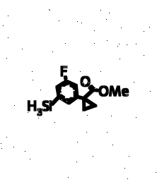 COC(=O)C1(c2cc(F)cc([SiH3])c2)CC1